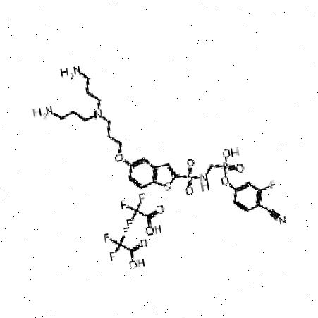 N#Cc1ccc(OP(=O)(O)CNS(=O)(=O)c2cc3cc(OCCCN(CCCN)CCCN)ccc3s2)cc1F.O=C(O)C(F)(F)F.O=C(O)C(F)(F)F